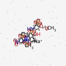 COCCOc1ccc(NS(=O)(=O)c2cc(/N=N/c3ccc([N+](=O)[O-])cc3S(C)(=O)=O)c3c(NS(C)(=O)=O)cccc3c2O)cc1S(=O)(=O)[O-].[Na+]